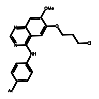 COc1cc2ncnc(Nc3ccc(C(C)=O)cc3)c2cc1OCCCCl